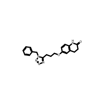 O=C1CCc2cc(OCCCc3nnnn3Cc3ccccc3)ccc2N1